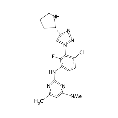 CNc1cc(C)nc(Nc2ccc(Cl)c(-n3cc([C@@H]4CCCN4)nn3)c2F)n1